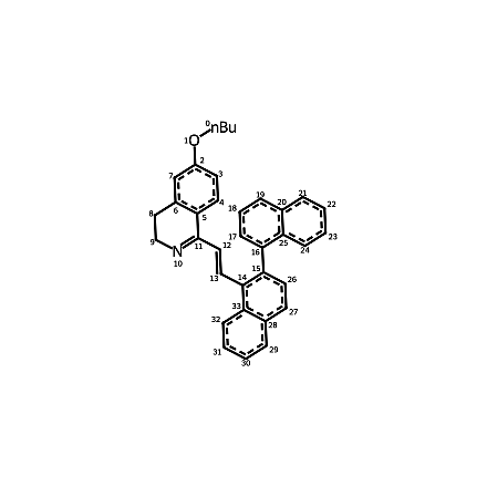 CCCCOc1ccc2c(c1)CCN=C2/C=C/c1c(-c2cccc3ccccc23)ccc2ccccc12